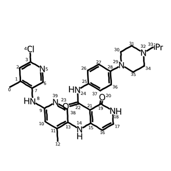 Cc1cc(Cl)ncc1Nc1cc(C)c(Nc2cc[nH]c(=O)c2C(=O)Nc2ccc(N3CCN(C(C)C)CC3)cc2)cn1